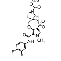 Cn1cc2c(c1C(=O)Nc1ccc(F)c(F)c1)OCC1(CCN(C(=O)OC(C)(C)C)C1)NS2(=O)=O